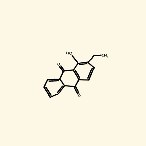 CCc1ccc2c(c1O)C(=O)c1ccccc1C2=O